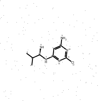 CC(C)[C@@H](S)Nc1cc(N)nc(Cl)n1